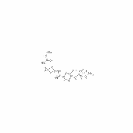 CC(C)(C)OC(=O)N[C@H]1CC12CC(NC(=N)c1ccc3c(c1)CC[C@H]([C@](C)(ON)C(=O)O)O3)C2